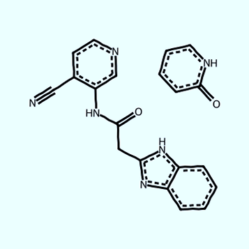 N#Cc1ccncc1NC(=O)Cc1nc2ccccc2[nH]1.O=c1cccc[nH]1